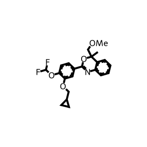 COCC1(C)OC(c2ccc(OC(F)F)c(OCC3CC3)c2)=Nc2ccccc21